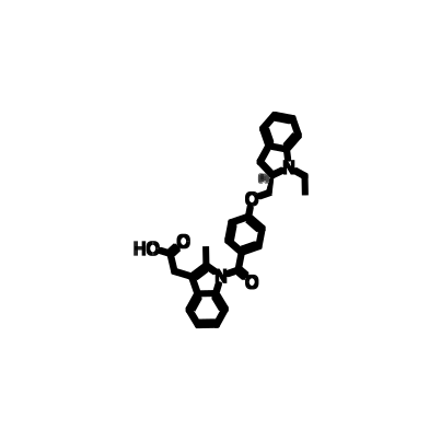 CCN1c2ccccc2C[C@@H]1COc1ccc(C(=O)n2c(C)c(CC(=O)O)c3ccccc32)cc1